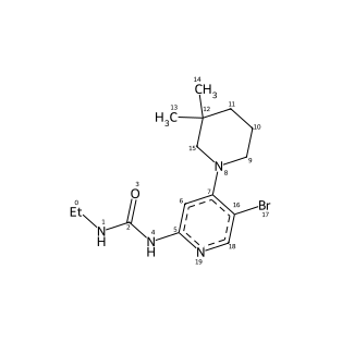 CCNC(=O)Nc1cc(N2CCCC(C)(C)C2)c(Br)cn1